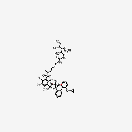 [2H]c1c([2H])c(S(=O)(=O)N(C)CCCCNC(=O)N[C@@H](CO)[C@@H](O)[C@H](O)[C@H](O)CO)c([2H])c(C([2H])([2H])OC2(c3cnccc3-c3ccccc3OC3CC3)C([2H])C2([2H])[2H])c1Cl